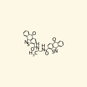 CC(CNC(=O)c1ccc2c3c(nsc13)-c1ccccc1C2=O)NC(=O)c1ccc2c3c(nsc13)-c1ccccc1C2=O